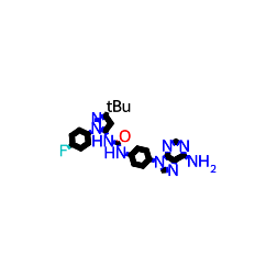 CC(C)(C)c1cc(NC(=O)Nc2ccc(-n3cnc4c(N)ncnc43)cc2)n(-c2ccc(F)cc2)n1